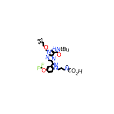 CN(CCCn1nc(-c2cnc3c(n2)c(C(=O)NC(C)(C)C)cn3COCC[Si](C)(C)C)c2cc(OC(F)F)ccc21)C(=O)O